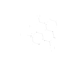 CC(C)N1CCOC(CC(C)N2CCN(C)CC2)C1